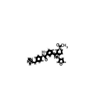 CC(=O)N1CCc2c(c(-c3cccc(C(=O)Nc4ccc(Cn5cncn5)cc4)c3)nn2C2CCOC2)C1